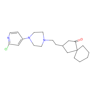 O=C1CC(CCN2CCN(c3ccnc(Cl)c3)CC2)CC12CCCCC2